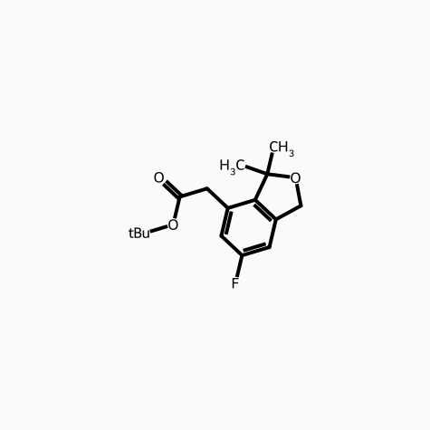 CC(C)(C)OC(=O)Cc1cc(F)cc2c1C(C)(C)OC2